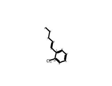 CCC/C=C/c1c[c]ccc1Cl